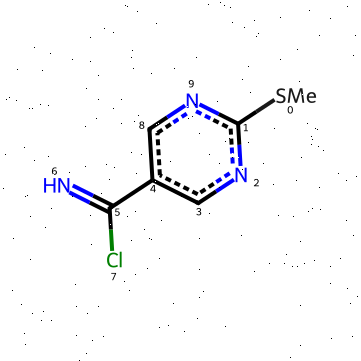 CSc1ncc(C(=N)Cl)cn1